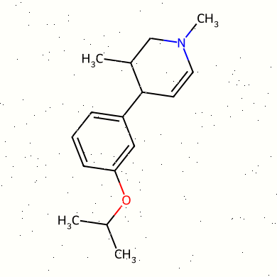 CC(C)Oc1cccc(C2C=CN(C)CC2C)c1